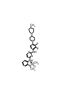 CN1CCN(C2CCN(c3ccc(Nc4nccc(Nc5ccccc5N(C)S(C)(=O)=O)n4)c(F)c3F)CC2)CC1